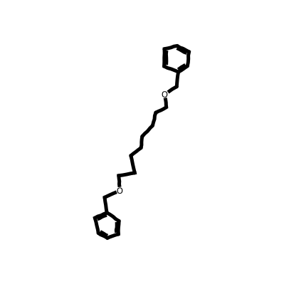 c1ccc(COCCCCCCCCOCc2ccccc2)cc1